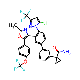 Cc1nc(-c2cc(-c3cccc(C4(C(N)=O)CC4)c3)ccc2-n2nc(C(F)(F)F)cc2Cl)c(-c2ccc(OC(F)(F)F)cc2)o1